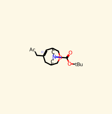 CC(=O)C/C1=C/C2COCC(C1)CN(C(=O)OC(C)(C)C)C2